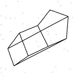 C1C2C3C4C1C1C2C3C41